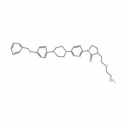 CCCOCCN1CCN(c2ccc(N3CCN(c4ccc(OCc5ccccc5)cc4)CC3)cc2)C1=O